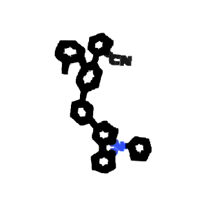 Cc1ccccc1-c1cc(-c2cccc(-c3ccc4c(c3)c3ccccc3n4-c3ccccc3)c2)ccc1-c1ccccc1C#N